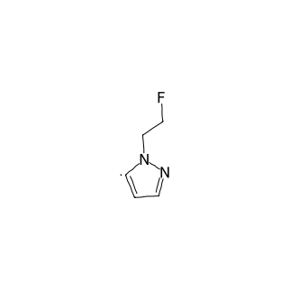 FCCn1[c]ccn1